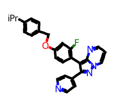 CC(C)c1ccc(COc2ccc(-c3c(-c4ccncc4)nn4cccnc34)c(F)c2)cc1